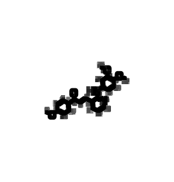 COc1ccc(C(=O)C=Cc2cccnc2Nc2ccc(OC)c(OC)c2)cc1